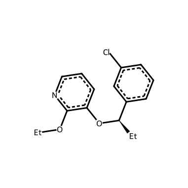 CCOc1ncccc1O[C@H](CC)c1cccc(Cl)c1